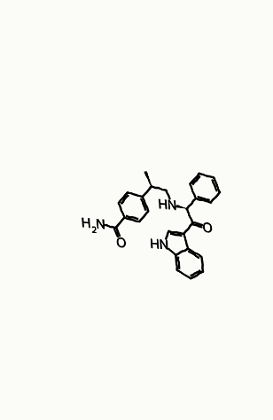 C[C@@H](CN[C@H](C(=O)c1c[nH]c2ccccc12)c1ccccc1)c1ccc(C(N)=O)cc1